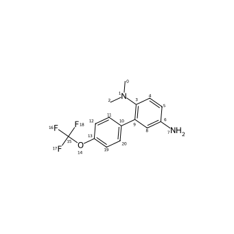 CN(C)c1ccc(N)cc1-c1ccc(OC(F)(F)F)cc1